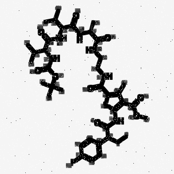 CCC(C(=O)Nc1sc(C(=O)NCCNC(=O)[C@H](C)NC(=O)[C@@H](NC(=O)[C@@H](NC(=O)OC(C)(C)C)C(C)C)C(C)C)c(C)c1C(=O)OC)c1ccc(F)cc1